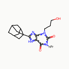 CCCn1c(=O)c2[nH]c(C34CC5CC(CC3C5)C4)nc2n(CCCO)c1=O